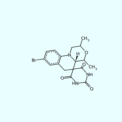 CC1CN2c3ccc(Br)cc3CC3(C(=O)NC(=O)NC3=O)[C@H]2C(C)O1